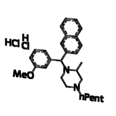 CCCCCN1CCN(C(c2cccc(OC)c2)c2ccc3ccccc3c2)C(C)C1.Cl.Cl